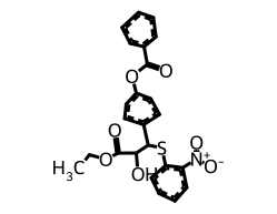 CCOC(=O)C(O)C(Sc1ccccc1[N+](=O)[O-])c1ccc(OC(=O)c2ccccc2)cc1